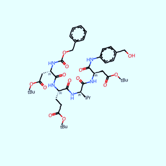 CC(C)[C@@H](NC(=O)[C@H](CCC(=O)OC(C)(C)C)NC(=O)[C@H](CC(=O)OC(C)(C)C)NC(=O)OCc1ccccc1)C(=O)N[C@H](CC(=O)OC(C)(C)C)C(=O)Nc1ccc(CO)cc1